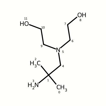 CC(C)(N)CN(CCO)CCO